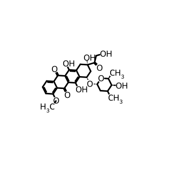 COc1cccc2c1C(=O)c1c(O)c3c(c(O)c1C2=O)C[C@@](O)(C(=O)CO)C[C@@H]3O[C@H]1CC(C)[C@H](O)[C@H](C)O1